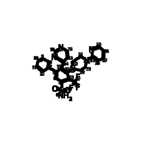 NS(=O)(=O)c1cc(-c2ccccc2)c(-c2ccncn2)c(N2CCN(c3ccccn3)CC2)c1C(F)(F)F